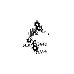 COc1ccc(C(=O)N(C)C2CCN(CCNC(=O)Nc3cc(C)nc4ccccc34)C2)c(OC)c1